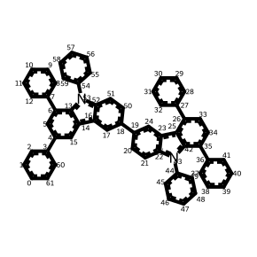 c1ccc(-c2cc(-c3ccccc3)c3c(c2)c2cc(-c4ccc5c(c4)c4c(-c6ccccc6)ccc(-c6ccccc6)c4n5-c4ccccc4)ccc2n3-c2ccccc2)cc1